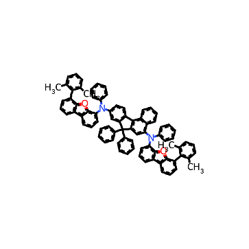 Cc1cccc(C)c1-c1cccc2c1oc1c(N(c3ccccc3)c3ccc4c(c3)C(c3ccccc3)(c3ccccc3)c3cc(N(c5ccccc5)c5cccc6c5oc5c(-c7c(C)cccc7C)cccc56)c5ccccc5c3-4)cccc12